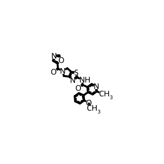 COc1ccccc1-c1cc(C)ncc1C(=O)Nc1nc2c(s1)CN(C(=O)c1cnco1)C2